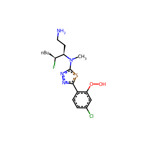 CCCC[C@H](F)[C@@H](CCN)N(C)c1nnc(-c2ccc(Cl)cc2OO)s1